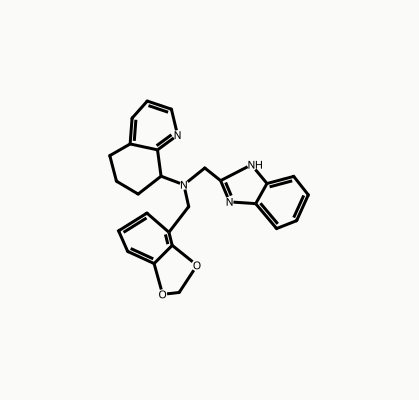 c1cnc2c(c1)CCCC2N(Cc1nc2ccccc2[nH]1)Cc1cccc2c1OCO2